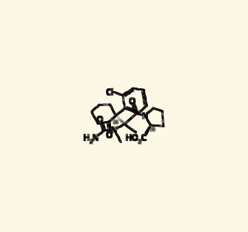 CN(C(N)=O)C(C)(C(=O)N1CCC[C@H]1C(=O)O)[C@@]1(c2ccccc2Cl)CCCCC1=O